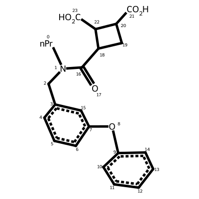 CCCN(Cc1cccc(Oc2ccccc2)c1)C(=O)C1CC(C(=O)O)C1C(=O)O